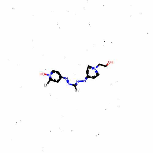 CCC(N=Nc1cc[n+](O)c(CC)c1)=NN=c1ccn(CCO)cc1